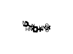 CC(C)S(=O)(=O)NCC(C)(C)c1ccc2[nH]c(-c3ccncc3)nc2c1